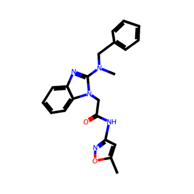 Cc1cc(NC(=O)Cn2c(N(C)Cc3ccccc3)nc3ccccc32)no1